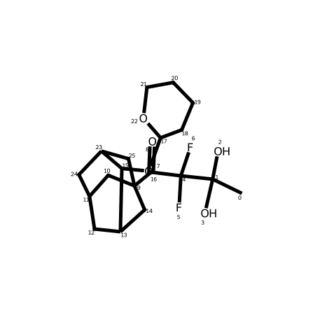 CC(O)(O)C(F)(F)C(=O)C12CC3CC(C1)C(OC1CCCCO1)C(C3)C2